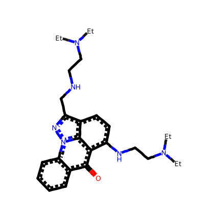 CCN(CC)CCNCc1nn2c3ccccc3c(=O)c3c(NCCN(CC)CC)ccc1c32